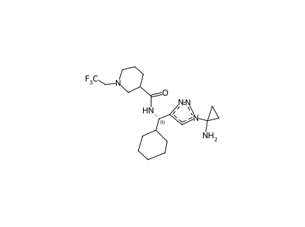 NC1(n2cc([C@@H](NC(=O)C3CCCN(CC(F)(F)F)C3)C3CCCCC3)nn2)CC1